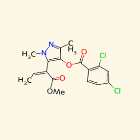 CC=C(C(=O)OC)c1c(OC(=O)c2ccc(Cl)cc2Cl)c(C)nn1C